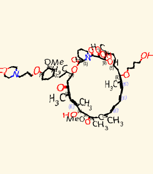 CO[C@@H]1C[C@H](CC(C)[C@@H]2CC(=O)[C@H](C)/C=C(\C)[C@@H](O)[C@@H](OC)C(=O)[C@H](C)C[C@H](C)/C=C/C=C/C=C(\C)[C@H](OCCCCO)C[C@@H]3CC[C@@H](C)[C@@](O)(O3)C(=O)C(=O)N3CCCC[C@H]3C(=O)O2)CC[C@H]1OCCCN1CCOCC1